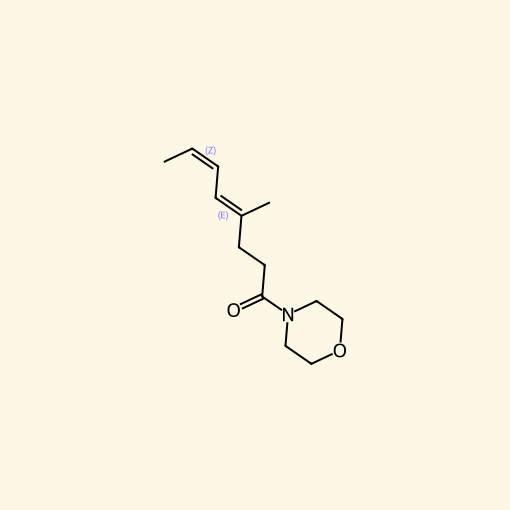 C/C=C\C=C(/C)CCC(=O)N1CCOCC1